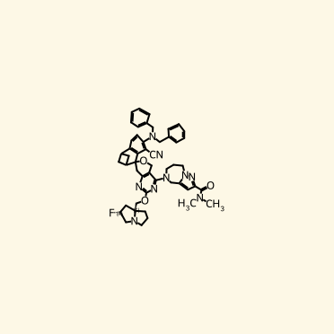 CN(C)C(=O)c1cc2n(n1)CCCN(c1nc(OC[C@@]34CCCN3C[C@H](F)C4)nc3c1COC1(C3)c3c(ccc(N(Cc4ccccc4)Cc4ccccc4)c3C#N)C3CC1C3)C2